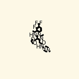 Cc1nc(CC(=O)NN2CCN(C)CC2)c(C2OCCO2)c(NC(C)c2cccc(C(F)F)c2F)n1